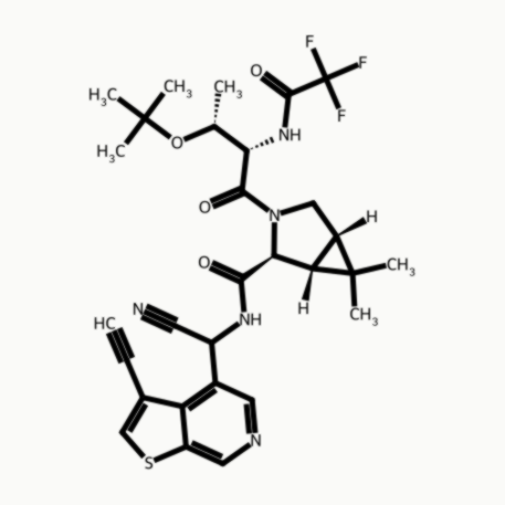 C#Cc1csc2cncc(C(C#N)NC(=O)[C@@H]3[C@@H]4[C@H](CN3C(=O)[C@@H](NC(=O)C(F)(F)F)[C@@H](C)OC(C)(C)C)C4(C)C)c12